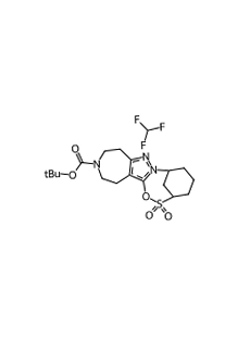 CC(C)(C)OC(=O)N1CCc2nn3c(c2CC1)OS(=O)(=O)C1CCCC3C1.FC(F)F